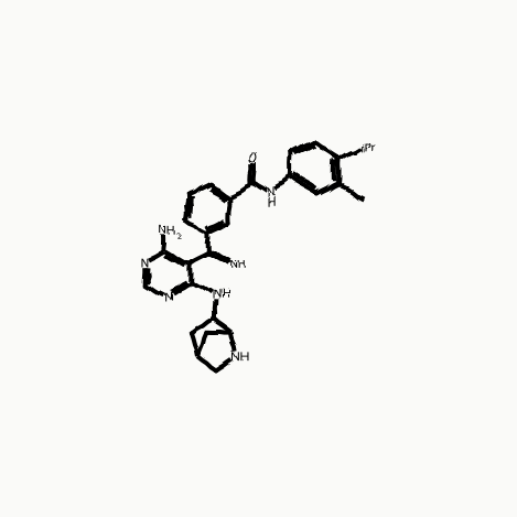 Cc1cc(NC(=O)c2cccc(C(=N)c3c(N)ncnc3NC3CC4CNC3C4)c2)ccc1C(C)C